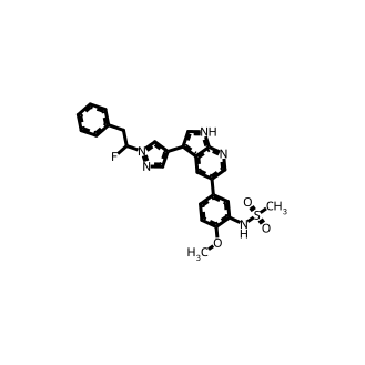 COc1ccc(-c2cnc3[nH]cc(-c4cnn(C(F)Cc5ccccc5)c4)c3c2)cc1NS(C)(=O)=O